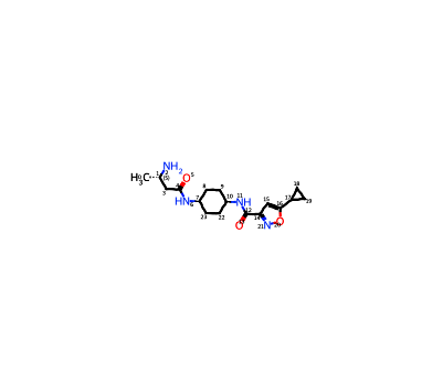 C[C@H](N)CC(=O)N[C@H]1CC[C@@H](NC(=O)c2cc(C3CC3)on2)CC1